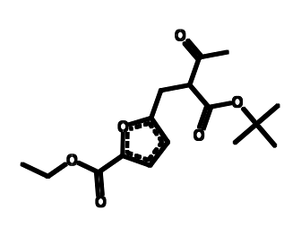 CCOC(=O)c1ccc(CC(C(C)=O)C(=O)OC(C)(C)C)o1